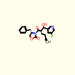 C#CCC[C@@H](C(=O)N1C(=O)OC[C@@H]1Cc1ccccc1)C(O)c1cncc(F)c1